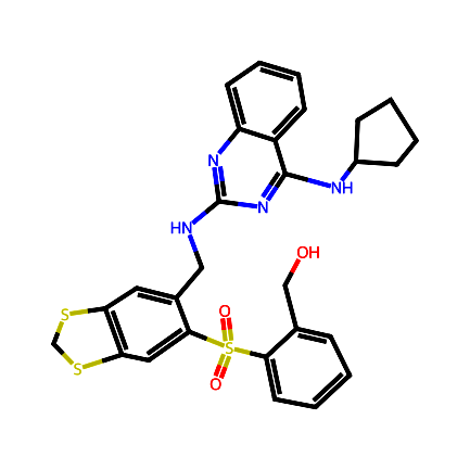 O=S(=O)(c1ccccc1CO)c1cc2c(cc1CNc1nc(NC3CCCC3)c3ccccc3n1)SCS2